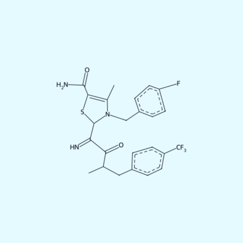 CC1=C(C(N)=O)SC(C(=N)C(=O)C(C)Cc2ccc(C(F)(F)F)cc2)N1Cc1ccc(F)cc1